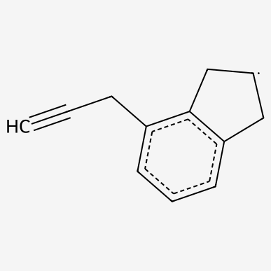 C#CCc1cccc2c1C[CH]C2